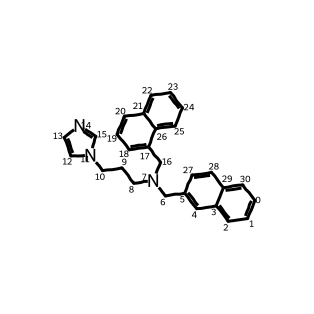 c1ccc2cc(CN(CCCn3ccnc3)Cc3cccc4ccccc34)ccc2c1